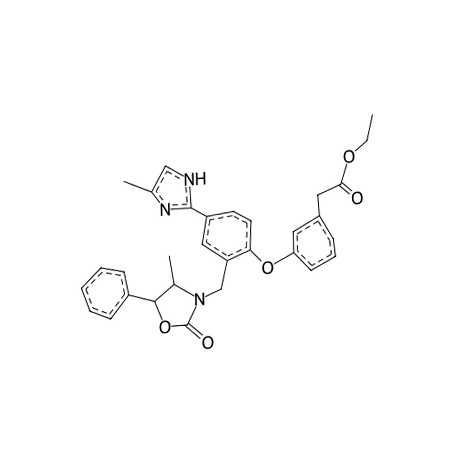 CCOC(=O)Cc1cccc(Oc2ccc(-c3nc(C)c[nH]3)cc2CN2C(=O)OC(c3ccccc3)C2C)c1